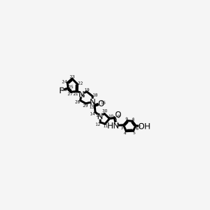 O=C(Nc1ccc(O)cc1)C1CCN(CC(=O)N2CCN(c3cccc(F)c3)CC2)C1